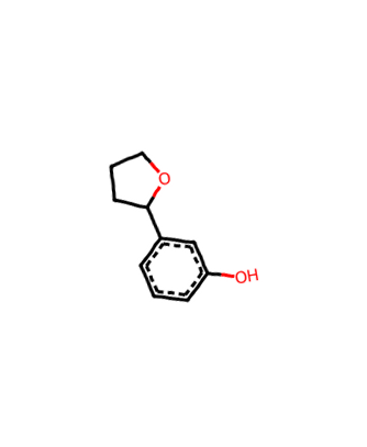 Oc1cccc(C2CCCO2)c1